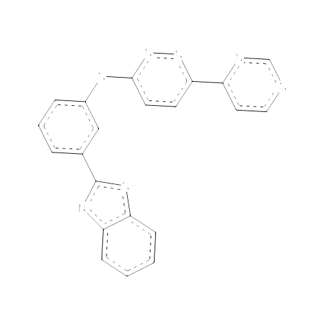 c1cc(Nc2ccc(-c3ccncn3)nn2)cc(-c2nc3ccccc3[nH]2)c1